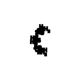 CC(C)(CCNC(=S)NCCC(C)(C)OP(N)(=O)O)O[PH](N)=O